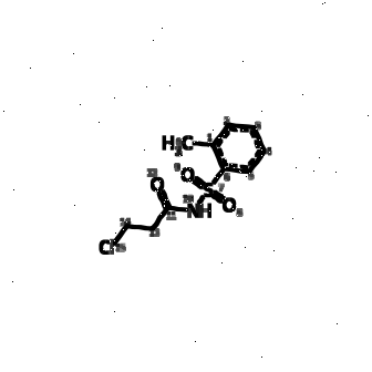 Cc1ccccc1S(=O)(=O)NC(=O)CCCl